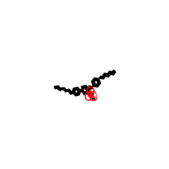 CCCCCCCC1CCC(C2CCC(CC[C@H]3CC[C@H](CCCCCCC)CC3)(OC(=O)OC)CC2)CC1